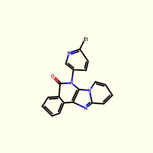 CCc1ccc(-n2c(=O)c3ccccc3c3nc4ccccn4c32)cn1